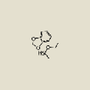 CCO[SiH](C)C.c1ccc2c(c1)OCO2